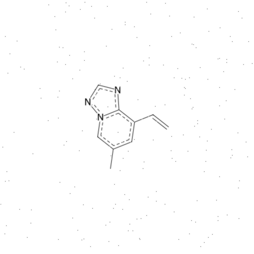 C=Cc1cc(C)cn2ncnc12